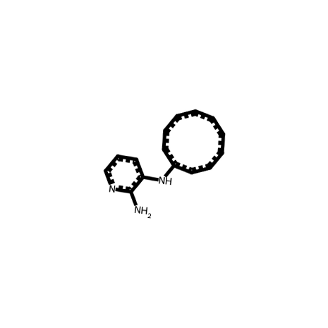 Nc1ncccc1Nc1ccccccccc1